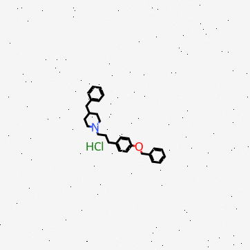 Cl.c1ccc(COc2ccc(CCCN3CCC(Cc4ccccc4)CC3)cc2)cc1